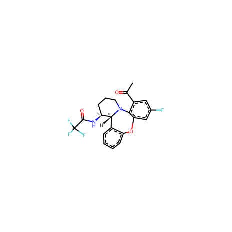 CC(=O)c1cc(F)cc2c1N1CCC[C@H](NC(=O)C(F)(F)F)[C@H]1c1ccccc1O2